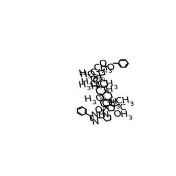 CC(C)C1=C2[C@H]3CC[C@@H]4C5(C)CC[C@H]([C@@]6(C(=O)O)C[C@@H](C(=O)OCc7ccccc7)C6(C)C)C(C)(C)[C@H]5CC[C@@]4(C)[C@]3(C)CC[C@@]2(C(=O)N2CCCC2c2ncc(-c3ccccc3)[nH]2)CC1=O